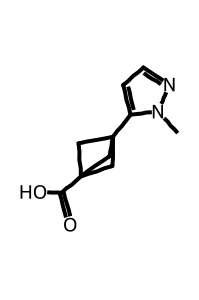 Cn1nccc1C12CC(C(=O)O)(C1)C2